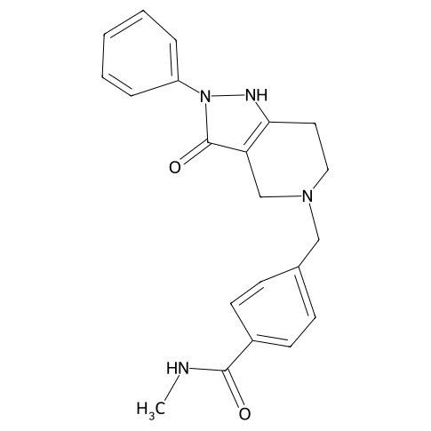 CNC(=O)c1ccc(CN2CCc3[nH]n(-c4ccccc4)c(=O)c3C2)cc1